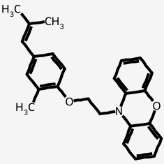 CC(C)=Cc1ccc(OCCN2c3ccccc3Oc3ccccc32)c(C)c1